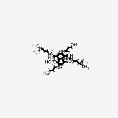 CN(C)CCCNNC(=O)c1cc(NCCCO)c(C(=O)NNCCCN(C)C)c2c(C(=O)O)cc(NCCCO)c(C(=O)O)c12